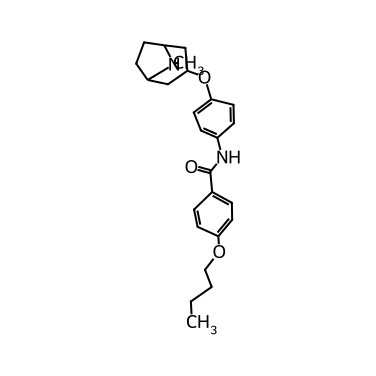 CCCCOc1ccc(C(=O)Nc2ccc(OC3CC4CCC(C3)N4C)cc2)cc1